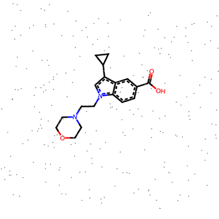 O=C(O)c1ccc2c(c1)c(C1CC1)cn2CCN1CCOCC1